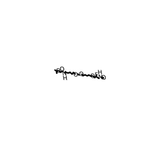 CC(C)OCC(=O)NCCCCCOCCOCCCCCOCC(F)CNC=O